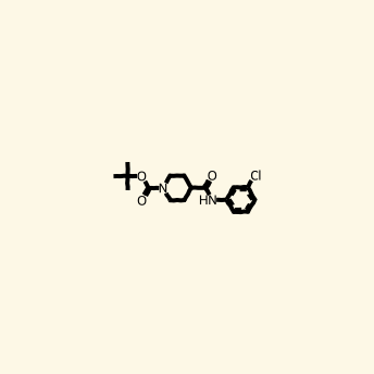 CC(C)(C)OC(=O)N1CCC(C(=O)Nc2cccc(Cl)c2)CC1